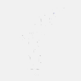 CS(=O)(=O)c1ccc(-c2ccc(NC(=O)Cc3ccc(/C=C/C(=O)O)cc3)c(N)c2)cc1